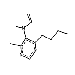 C=CN(C)c1c(CCCC)ccnc1F